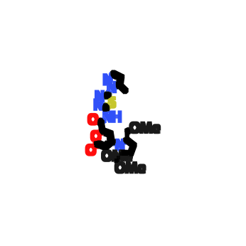 COC[C@H]1CC[C@H](COC)N1c1cc(C(=O)Nc2nnc(-n3nccc3C)s2)oc(=O)c1OC